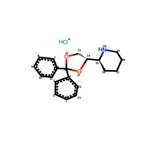 Cl.c1ccc(C2(c3ccccc3)OC[C@H]([C@@H]3CCCCN3)O2)cc1